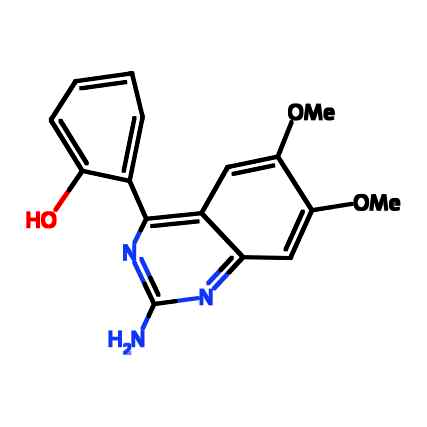 COc1cc2nc(N)nc(-c3ccccc3O)c2cc1OC